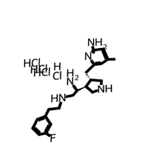 Cc1cc(N)nc(C[C@@H]2CNC[C@H]2C(N)CNCCc2cccc(F)c2)c1.Cl.Cl.Cl.Cl